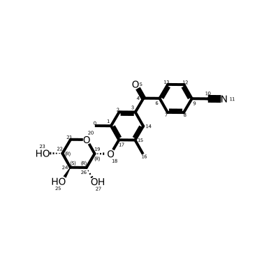 Cc1cc(C(=O)c2ccc(C#N)cc2)cc(C)c1O[C@H]1OC[C@@H](O)[C@H](O)[C@H]1O